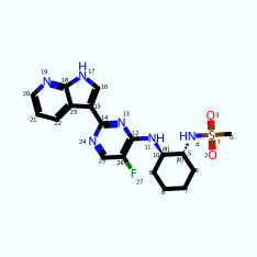 CS(=O)(=O)N[C@@H]1CCCC[C@H]1Nc1nc(-c2c[nH]c3ncccc23)ncc1F